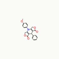 COc1ccc(N2C3=C(C(=O)OC3)C(c3ccccc3)C3=C2COC3=O)cc1